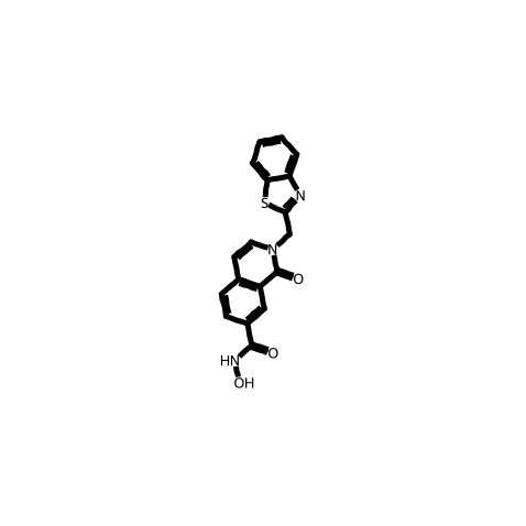 O=C(NO)c1ccc2ccn(Cc3nc4ccccc4s3)c(=O)c2c1